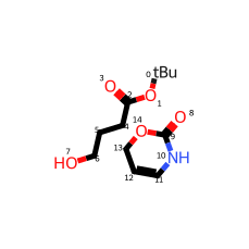 CC(C)(C)OC(=O)CCCO.O=C1NC=CCO1